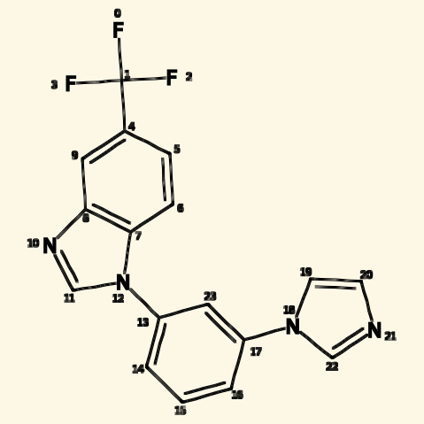 FC(F)(F)c1ccc2c(c1)ncn2-c1cccc(-n2ccnc2)c1